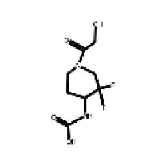 O=C(O)NC1CCN(C(=O)CO)CC1(F)F